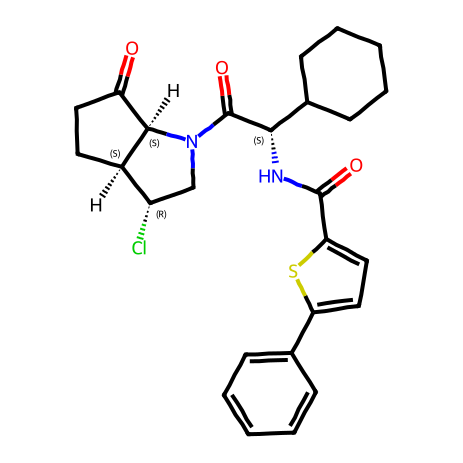 O=C(N[C@H](C(=O)N1C[C@H](Cl)[C@H]2CCC(=O)[C@H]21)C1CCCCC1)c1ccc(-c2ccccc2)s1